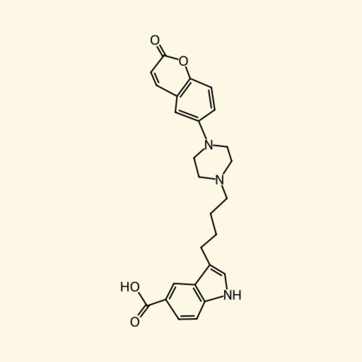 O=C(O)c1ccc2[nH]cc(CCCCN3CCN(c4ccc5oc(=O)ccc5c4)CC3)c2c1